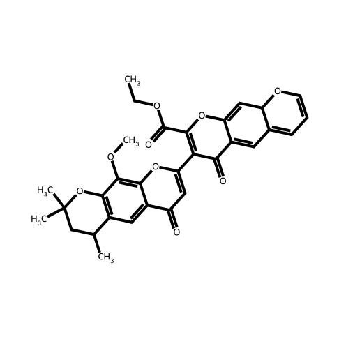 CCOC(=O)c1oc2c(c(=O)c1-c1cc(=O)c3cc4c(c(OC)c3o1)OC(C)(C)CC4C)=CC1=CC=COC1C=2